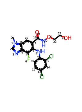 Cn1cnc2c(F)c(Nc3ccc(Cl)cc3Cl)c(C(=O)NOCCO)cc21